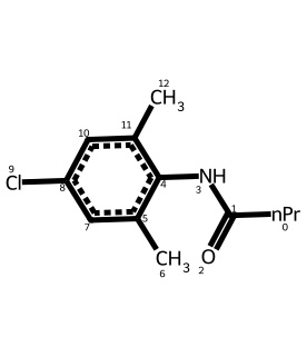 CCCC(=O)Nc1c(C)cc(Cl)cc1C